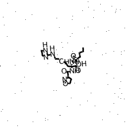 CCCCS(=O)(=O)NC(CCCCCNC1=NCCN1)(NC(=O)C1=NOCC1)C(=O)O